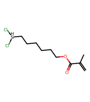 C=C(C)C(=O)OCCCCCC[SiH](Cl)Cl